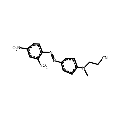 CN(CCC#N)c1ccc(N=Nc2ccc([N+](=O)[O-])cc2[N+](=O)[O-])cc1